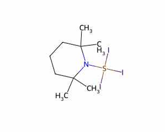 CC1(C)CCCC(C)(C)N1S(I)(I)I